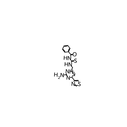 NC(N)=NC(SCCNC(=S)NC(=O)c1ccccc1)c1cscn1